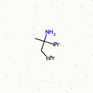 CCCCC(C)(N)[C](C)C